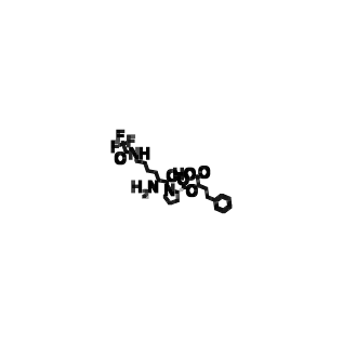 N[C@@H](CCCCNC(=O)C(F)(F)F)C(=O)N1CCC[C@H]1C(=O)OC(CCc1ccccc1)C(=O)O